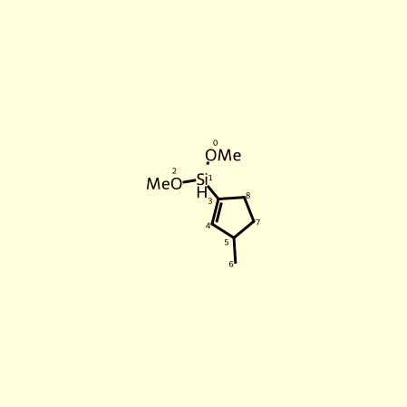 CO[SiH](OC)C1=CC(C)CC1